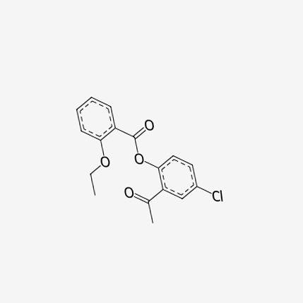 CCOc1ccccc1C(=O)Oc1ccc(Cl)cc1C(C)=O